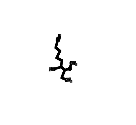 CCC(OC)C(O)CCCCC#N